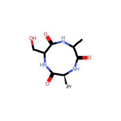 CC1NC(=O)C(CO)NC(=O)[C@H](C(C)C)NC1=O